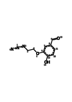 [N-]=[N+]=NCCOc1cc(C=O)ccc1O